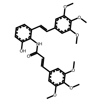 COc1cc(C=Cc2cccc(O)c2NC(=O)/C=C/c2cc(OC)c(OC)c(OC)c2)cc(OC)c1OC